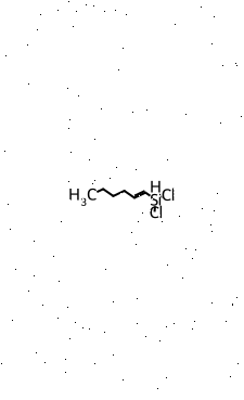 CCCCC=C[SiH](Cl)Cl